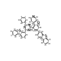 c1ccc(C2=NC(c3cccc4c3sc3ccccc34)NC(c3cc(-c4ccc5c(c4)sc4ccccc45)cc4oc5cnccc5c34)=N2)cc1